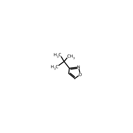 CC(C)(C)c1c[c]on1